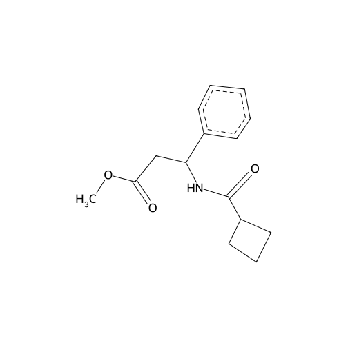 COC(=O)CC(NC(=O)C1CCC1)c1ccccc1